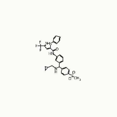 CS(=O)(=O)c1ccc(C(NCC2CC2)c2cccc(NC(=O)c3cc(C(F)(F)F)nn3-c3ccccc3)c2)cc1